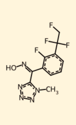 Cn1nnnc1C(=NO)c1cccc(C(F)(F)CF)c1F